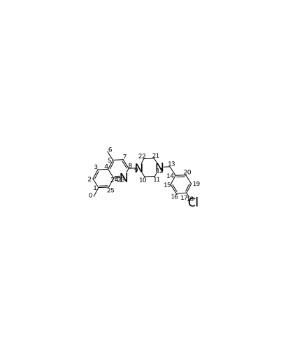 Cc1ccc2c(C)cc(N3CCN(Cc4ccc(Cl)cc4)CC3)nc2c1